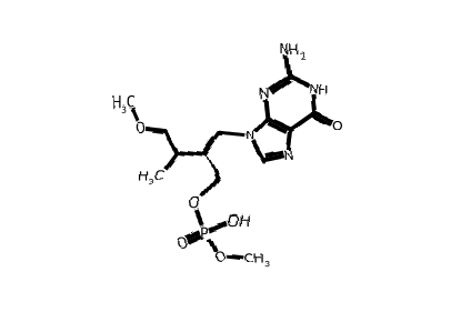 COCC(C)[C@H](COP(=O)(O)OC)Cn1cnc2c(=O)[nH]c(N)nc21